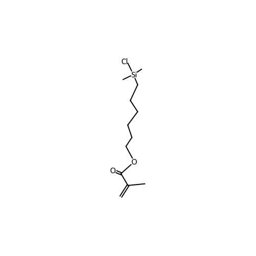 C=C(C)C(=O)OCCCCCC[Si](C)(C)Cl